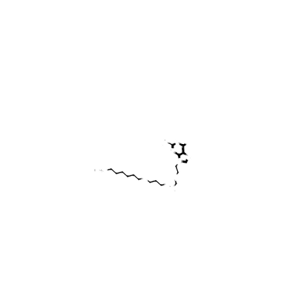 CCCCCCCCCCCCCCCCOCCCOP(=O)(O)COCCn1cnc2c(=O)[nH]c(N)nc21